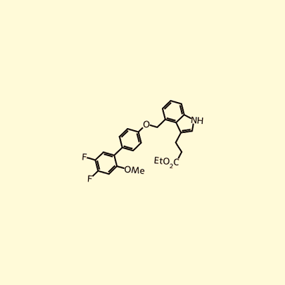 CCOC(=O)CCc1c[nH]c2cccc(COc3ccc(-c4cc(F)c(F)cc4OC)cc3)c12